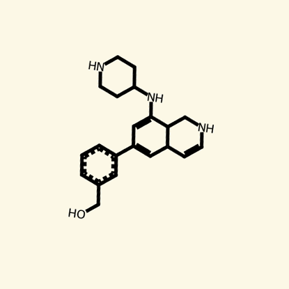 OCc1cccc(C2=CC3C=CNCC3C(NC3CCNCC3)=C2)c1